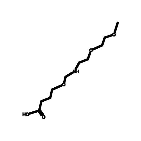 COCCOCCNCOCCCC(=O)O